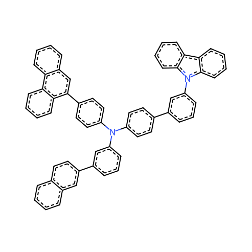 c1cc(-c2ccc3ccccc3c2)cc(N(c2ccc(-c3cccc(-n4c5ccccc5c5ccccc54)c3)cc2)c2ccc(-c3cc4ccccc4c4ccccc34)cc2)c1